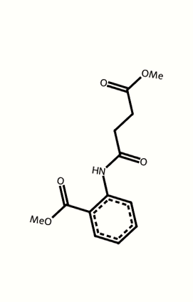 COC(=O)CCC(=O)Nc1ccccc1C(=O)OC